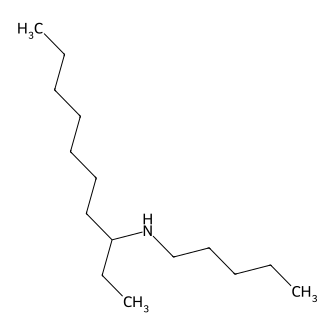 CCCCCCCC(CC)NCCCCC